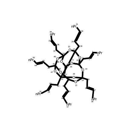 CCC/C=C/CC12OC3OC4(C/C=C/CCC)OC(C/C=C/CCC)(O1)OC1(C/C=C/CCC)OC(C/C=C/CCC)(O2)OC(C/C=C/CCC)(O3)OC(C/C=C/CCC)(O4)O1